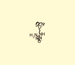 CN(C)Cc1ccsc1OCCCNc1n[s+]([O-])nc1N